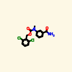 CN(C(=O)OCc1c(Cl)cccc1Cl)c1cccc(C(N)=O)c1